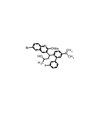 COc1nc2ccc(Br)cc2cc1C(CC(C)O)c1ccc(N(C)C)cc1-c1cccc(F)c1